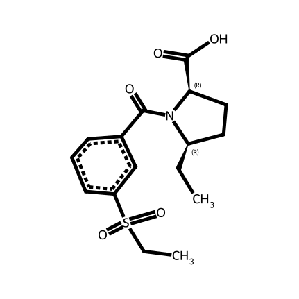 CC[C@@H]1CC[C@H](C(=O)O)N1C(=O)c1cccc(S(=O)(=O)CC)c1